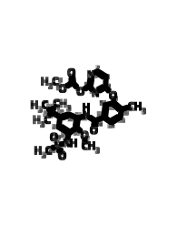 COC(=O)Oc1nccc(Oc2cc(C(=O)Nc3cc(C(C)(C)C)cc(NS(C)(=O)=O)c3OC)ccc2C)n1